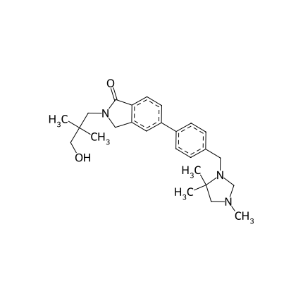 CN1CN(Cc2ccc(-c3ccc4c(c3)CN(CC(C)(C)CO)C4=O)cc2)C(C)(C)C1